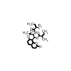 C/C=C(/C)C(=O)OC1c2c(ccc3ccc(=O)oc23)OC(C)(C)C1OC(=O)/C(C)=C\C